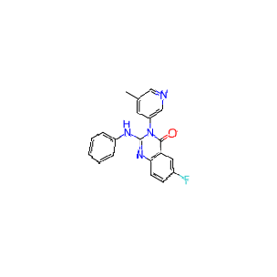 Cc1cncc(-n2c(Nc3ccccc3)nc3ccc(F)cc3c2=O)c1